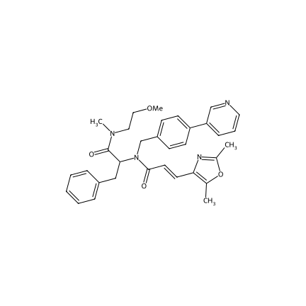 COCCN(C)C(=O)C(Cc1ccccc1)N(Cc1ccc(-c2cccnc2)cc1)C(=O)C=Cc1nc(C)oc1C